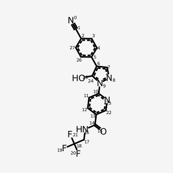 N#Cc1ccc(-c2cnn(-c3ccc(C(=O)NCC(F)(F)F)cn3)c2O)cc1